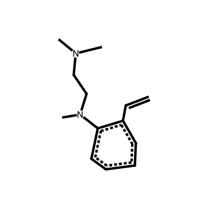 C=Cc1ccccc1N(C)CCN(C)C